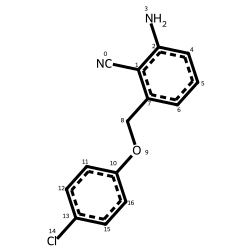 N#Cc1c(N)cccc1COc1ccc(Cl)cc1